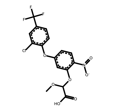 COC(Oc1cc(Oc2ccc(C(F)(F)F)cc2Cl)ccc1[N+](=O)[O-])C(=O)O